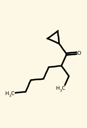 CCCCCC(CC)C(=O)C1CC1